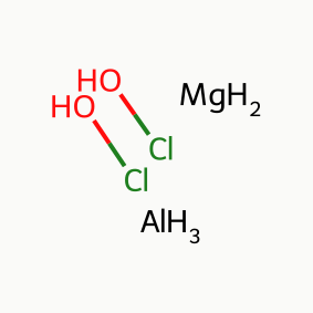 OCl.OCl.[AlH3].[MgH2]